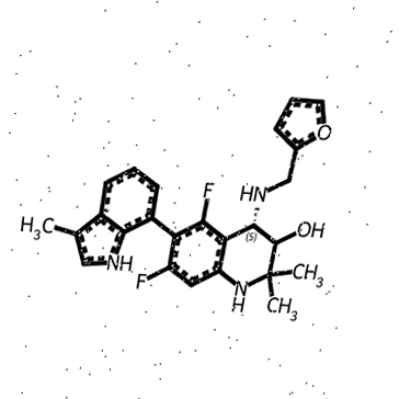 Cc1c[nH]c2c(-c3c(F)cc4c(c3F)[C@H](NCc3ccco3)C(O)C(C)(C)N4)cccc12